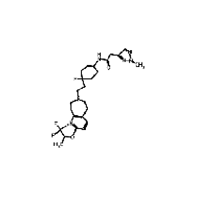 CC(Oc1ccc2c(n1)CCN(CCC1(F)CCC(NC(=O)Cc3cnn(C)n3)CC1)CC2)C(F)(F)F